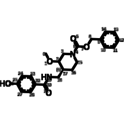 COC1CN(C(=O)OCc2ccccc2)CC[C@H]1CNC(=O)c1ccc(O)cc1